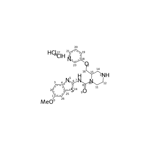 COc1ccc2nc(NC(=O)N3CCNCC3COc3cccnc3)sc2c1.Cl.Cl